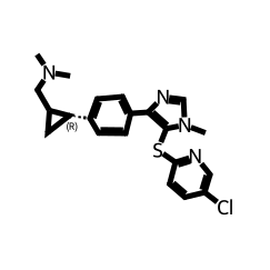 CN(C)CC1C[C@H]1c1ccc(-c2ncn(C)c2Sc2ccc(Cl)cn2)cc1